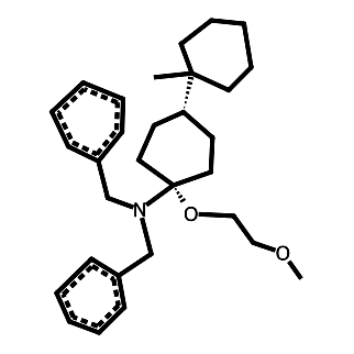 COCCO[C@]1(N(Cc2ccccc2)Cc2ccccc2)CC[C@H](C2(C)CCCCC2)CC1